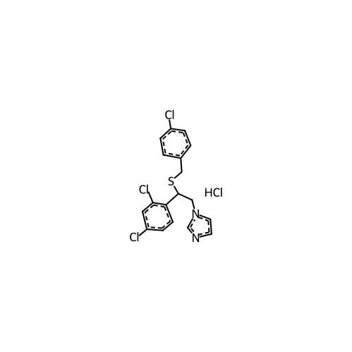 Cl.Clc1ccc(CSC(Cn2ccnc2)c2ccc(Cl)cc2Cl)cc1